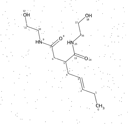 CC/C=C/CC(CC(=O)NCCO)C(=O)NCCO